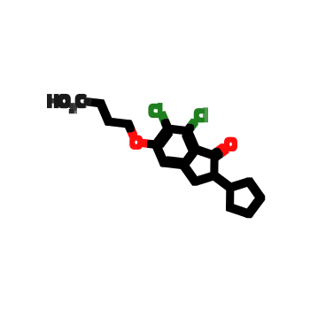 O=C(O)CCCOc1cc2c(c(Cl)c1Cl)C(=O)C(C1CCCC1)C2